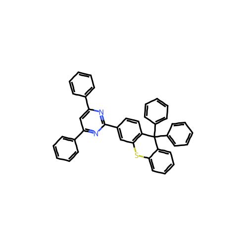 c1ccc(-c2cc(-c3ccccc3)nc(-c3ccc4c(c3)Sc3ccccc3C4(c3ccccc3)c3ccccc3)n2)cc1